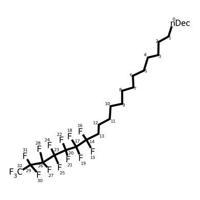 CCCCCCCCCCCCCCCCCCCCCCCC(F)(F)C(F)(F)C(F)(F)C(F)(F)C(F)(F)C(F)(F)C(F)(F)F